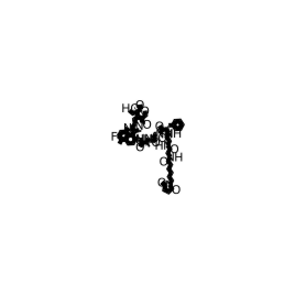 CC[C@@]1(O)C(=O)OCc2c1cc1n(c2=O)Cc2c-1nc1cc(F)c(C)c3c1c2[C@@H](NC(=O)[C@H](C)NC(=O)CNC(=O)[C@H](Cc1ccccc1)NC(=O)CNC(=O)CNC(=O)CCCCCN1C(=O)C=CC1=O)CC3